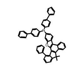 CC1(C)c2cccc(-c3ccccc3)c2-c2c1c1ccccc1c1c2oc2cc(N(c3ccc(-c4ccccc4)cc3)c3ccc(-c4ccccc4)cc3)ccc21